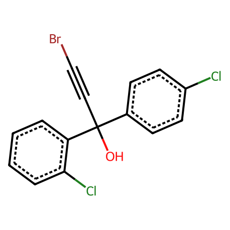 OC(C#CBr)(c1ccc(Cl)cc1)c1ccccc1Cl